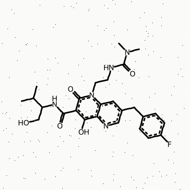 CC(C)C(CO)NC(=O)c1c(O)c2ncc(Cc3ccc(F)cc3)cc2n(CCNC(=O)N(C)C)c1=O